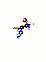 CNC(=O)c1ccc(-c2cc(OC3CCOCC3)c3c(N)n[nH]c3c2)cc1N1CCN(CC(C)(F)F)CC1